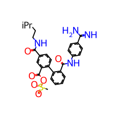 CC(C)CCNC(=O)c1ccc(-c2ccccc2C(=O)Nc2ccc(C(=N)N)cc2)c(C(=O)OS(C)(=O)=O)c1